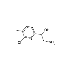 Cc1ccc(C(O)CN)nc1Cl